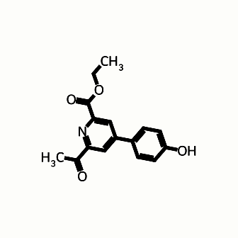 CCOC(=O)c1cc(-c2ccc(O)cc2)cc(C(C)=O)n1